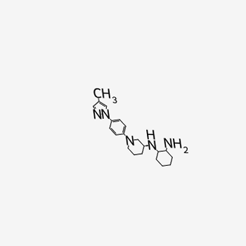 Cc1cnn(-c2ccc(N3CCC[C@H](NC4CCCCC4N)C3)cc2)c1